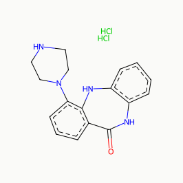 Cl.Cl.O=C1Nc2ccccc2Nc2c1cccc2N1CCNCC1